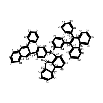 c1ccc(-c2cc3ccccc3cc2-c2ccc(N(c3cccc(-c4c(-c5ccccc5)c5ccccc5c5ccccc45)c3)c3cccc4c3sc3ccccc34)cc2)cc1